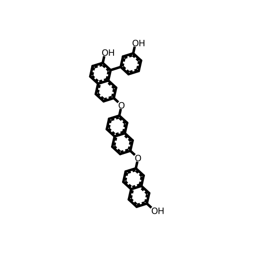 Oc1cccc(-c2c(O)ccc3ccc(Oc4ccc5ccc(Oc6ccc7ccc(O)cc7c6)cc5c4)cc23)c1